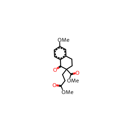 COC(=O)CCC1(C(=O)OC)CCc2cc(OC)ccc2C1=O